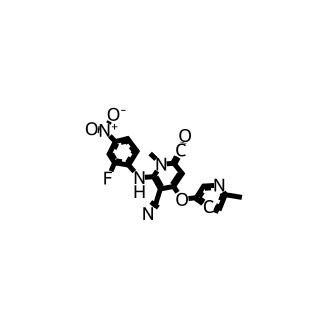 Cc1ccc(OC2=CC(=C=O)N(C)C(Nc3ccc([N+](=O)[O-])cc3F)=C2C#N)cn1